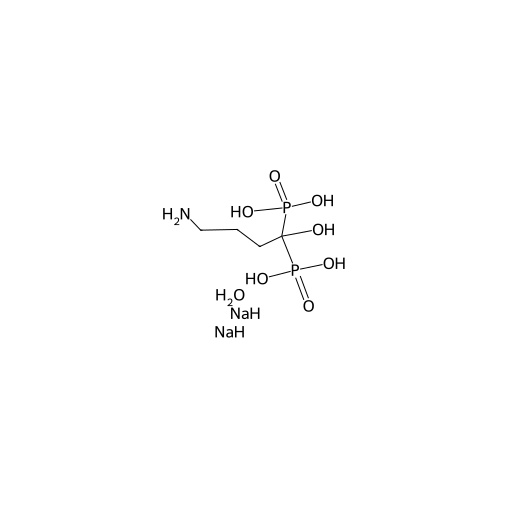 NCCCC(O)(P(=O)(O)O)P(=O)(O)O.O.[NaH].[NaH]